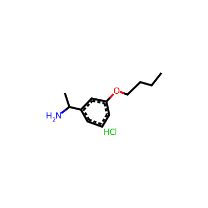 CCCCOc1cccc(C(C)N)c1.Cl